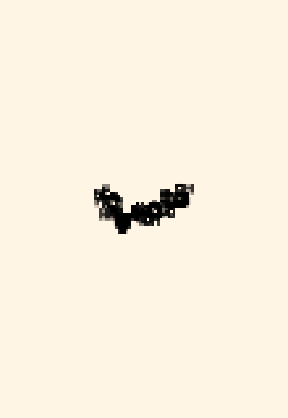 Cc1cc(Nc2nccc(C(F)(F)F)n2)cc(-c2cnc(C3(O)CCC(NC(=O)c4cccc(O)n4)CC3)s2)c1